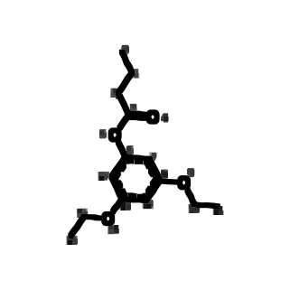 CC[CH]C(=O)Oc1cc(OCC)cc(OCC)c1